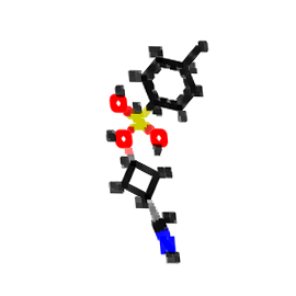 Cc1ccc(S(=O)(=O)O[C@H]2C[C@@H](C#N)C2)cc1